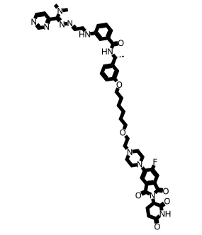 C[C@@H](NC(=O)c1cccc(NC/C=N/N=C(/c2ccncn2)N(C)C)c1)c1cccc(OCCCCCCOCCN2CCN(c3cc4c(cc3F)C(=O)N(C3CCC(=O)NC3=O)C4=O)CC2)c1